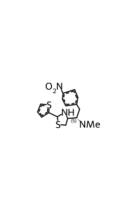 CN[C@@H](Cc1ccc([N+](=O)[O-])cc1)C1CSC(c2cccs2)N1